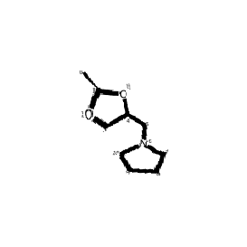 C[C@@H]1OCC(CN2CCCC2)O1